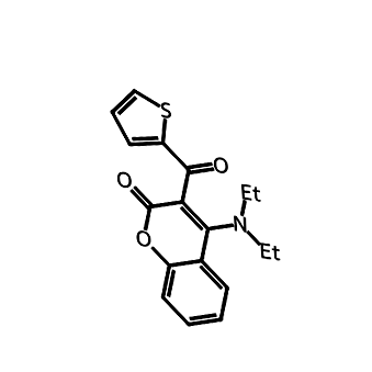 CCN(CC)c1c(C(=O)c2cccs2)c(=O)oc2ccccc12